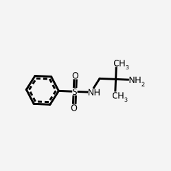 CC(C)(N)CNS(=O)(=O)c1ccccc1